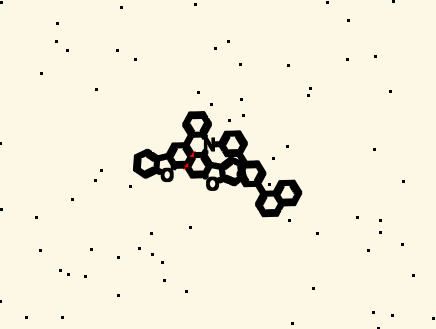 c1cc(-c2ccc(-c3cccc4ccccc34)cc2)cc(N(c2ccccc2-c2ccc3oc4ccccc4c3c2)c2cccc3oc4ccccc4c23)c1